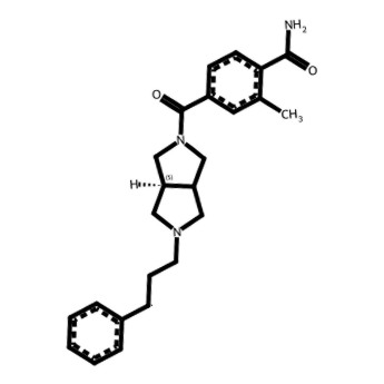 Cc1cc(C(=O)N2CC3CN(CC[CH]c4ccccc4)C[C@H]3C2)ccc1C(N)=O